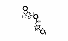 Cn1c(CNc2cccc(C(=O)NC3c4ccccc4CC3O)c2)nnc1-c1ccncn1